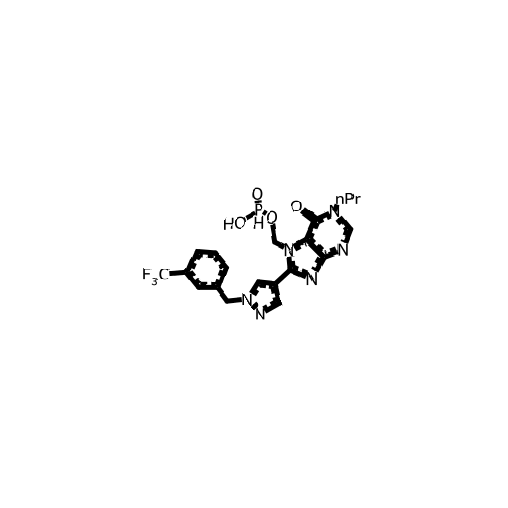 CCCn1cnc2nc(-c3cnn(Cc4cccc(C(F)(F)F)c4)c3)n(CO[PH](=O)O)c2c1=O